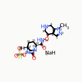 Cn1ncc2c1CNCC2ONC(=O)[C@@H]1CC[C@@H]2CN1C(=O)N2O[SH](=O)=O.[NaH]